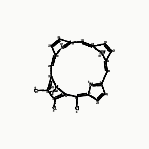 Clc1c(Cl)c2c(Cl)c3nc(cc4ccc(cc5nc(cc1n2Cl)C=C5)[nH]4)C=C3